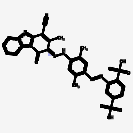 CC1=C(C#N)c2nc3ccccc3n2C(=O)/C1=N/Nc1cc(C)c(N=Nc2cc(S(=O)(=O)O)ccc2S(=O)(=O)O)cc1C